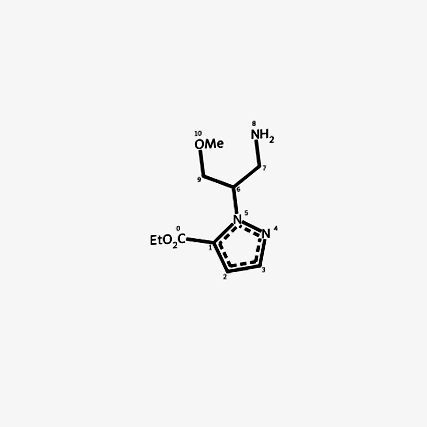 CCOC(=O)c1ccnn1C(CN)COC